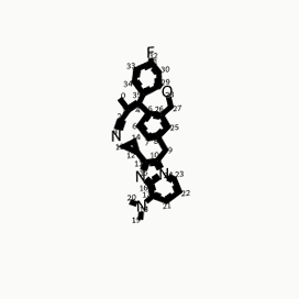 CC(C#N)=C1c2ccc(Cc3c(C4CC4)nc4c(N(C)C)cccn34)cc2COc2cc(F)ccc21